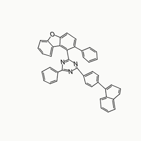 c1ccc(-c2nc(-c3ccc(-c4cccc5ccccc45)cc3)nc(-c3c(-c4ccccc4)ccc4oc5ccccc5c34)n2)cc1